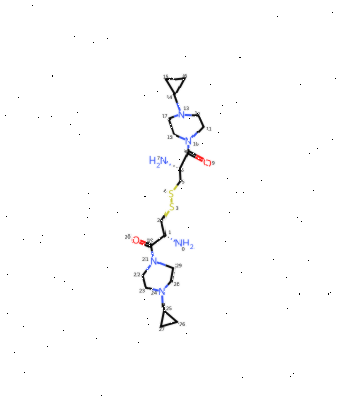 N[C@@H](CSSC[C@H](N)C(=O)N1CCN(C2CC2)CC1)C(=O)N1CCN(C2CC2)CC1